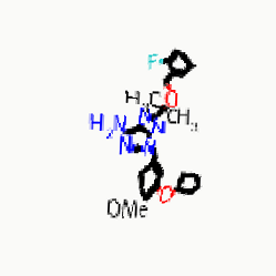 COc1ccc(Cn2cnc(N)c3nc(C(C)(C)OCc4ccccc4F)nc2-3)cc1OC1CCCC1